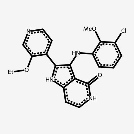 [CH2]COc1cnccc1-c1[nH]c2cc[nH]c(=O)c2c1Nc1cccc(Cl)c1OC